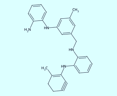 CC1=C(Nc2ccccc2NCc2cc(C)cc(Nc3ccccc3N)c2)C#CCC1